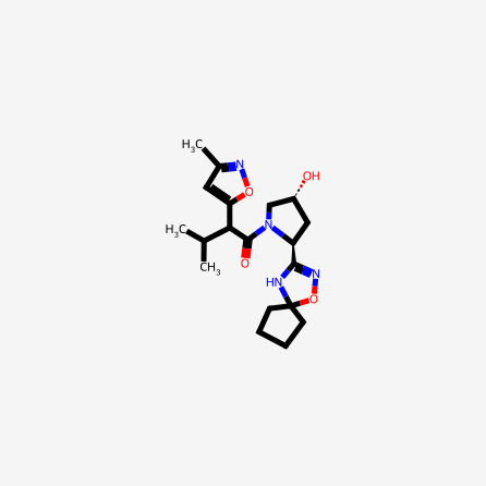 Cc1cc(C(C(=O)N2C[C@H](O)C[C@H]2C2=NOC3(CCCC3)N2)C(C)C)on1